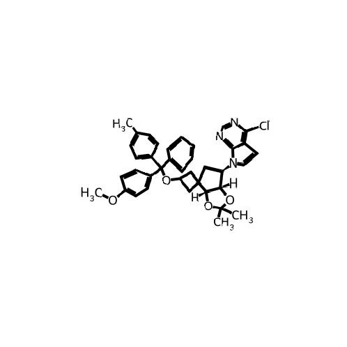 COc1ccc(C(OC2CC3(C2)C[C@@H](n2ccc4c(Cl)ncnc42)[C@@H]2OC(C)(C)O[C@@H]23)(c2ccccc2)c2ccc(C)cc2)cc1